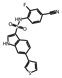 N#Cc1ccc(NS(=O)(=O)c2c[nH]c3cc(-c4ccsc4)ccc23)c(F)c1